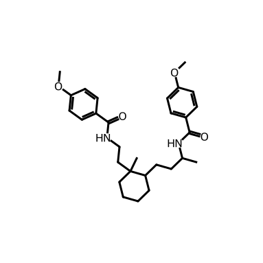 COc1ccc(C(=O)NCCC2(C)CCCCC2CCC(C)NC(=O)c2ccc(OC)cc2)cc1